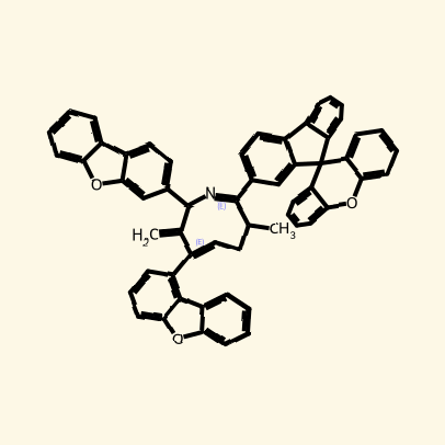 C=C1/C(c2cccc3oc4ccccc4c23)=C/CC(C)/C(c2ccc3c(c2)C2(c4ccccc4Oc4ccccc42)c2ccccc2-3)=N\C1c1ccc2c(c1)oc1ccccc12